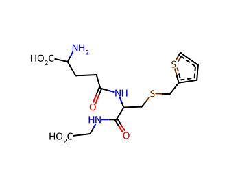 NC(CCC(=O)NC(CSCc1cccs1)C(=O)NCC(=O)O)C(=O)O